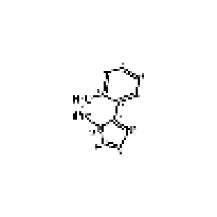 Cc1ccccc1-c1nccn1C(C)C